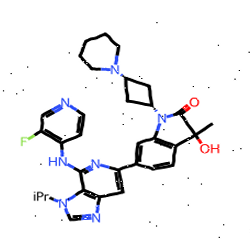 CC(C)n1cnc2cc(-c3ccc4c(c3)N([C@H]3C[C@@H](N5CCCCC5)C3)C(=O)C4(C)O)nc(Nc3ccncc3F)c21